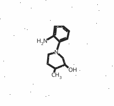 CC1CCN(c2ccccc2N)CC1O